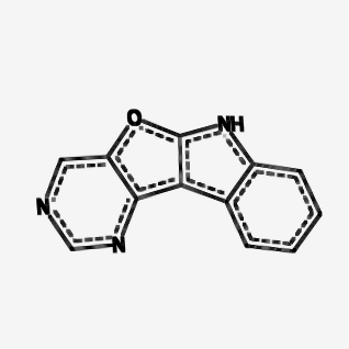 c1ccc2c(c1)[nH]c1oc3cncnc3c12